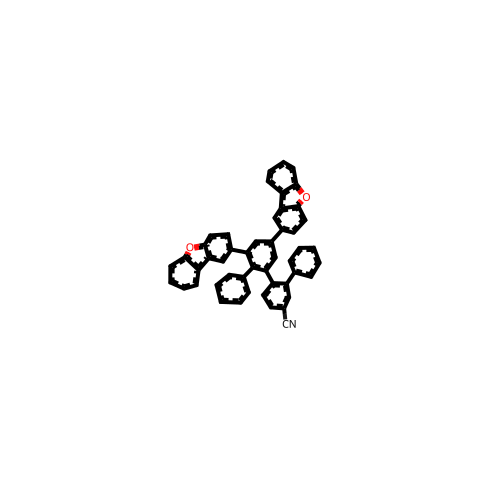 N#Cc1ccc(-c2cc(-c3ccc4oc5ccccc5c4c3)cc(-c3ccc4oc5ccccc5c4c3)c2-c2ccccc2)c(-c2ccccc2)c1